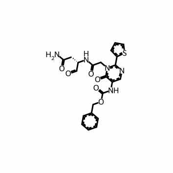 NC(=O)C[C@@H](C=O)NC(=O)Cn1c(-c2cccs2)ncc(NC(=O)OCc2ccccc2)c1=O